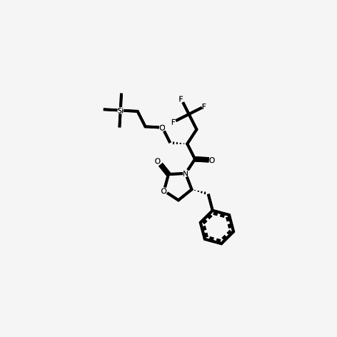 C[Si](C)(C)CCOC[C@H](CC(F)(F)F)C(=O)N1C(=O)OC[C@H]1Cc1ccccc1